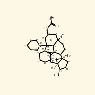 CC(C)C(=O)O[C@H]1C[C@@H]2CC[C@H]3[C@@H]4CC[C@H](O)[C@@]4(C)CC[C@@H]3[C@@]2(C)C(N2CCCCC2)(N2CCCCC2)C1